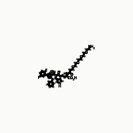 CC(C)(C)[C@H](c1cc(-c2cc(F)ccc2F)cn1Cc1ccccc1)N(CC1CCNC1)C(=O)CSC[C@H](NC(=O)CCOCCOCCOCCOCCN)C(=O)O